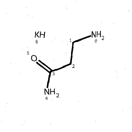 NCCC(N)=O.[KH]